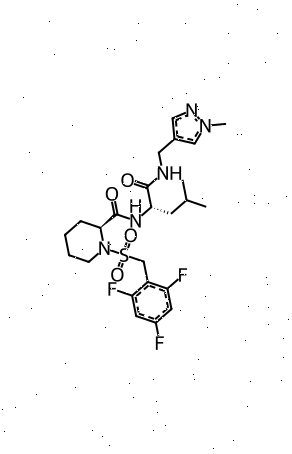 CC(C)C[C@H](NC(=O)[C@@H]1CCCCN1S(=O)(=O)Cc1c(F)cc(F)cc1F)C(=O)NCc1cnn(C)c1